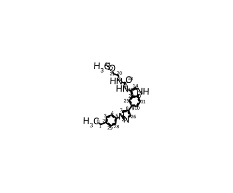 CCc1ccc(-n2cc(-c3ccc4[nH]cc(NC(=O)NCCOC)c4c3)cn2)cc1